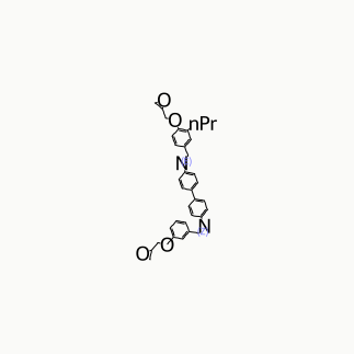 CCCc1cc(/C=N/c2ccc(-c3ccc(/N=C\c4cccc(OCC5CO5)c4)cc3)cc2)ccc1OCC1CO1